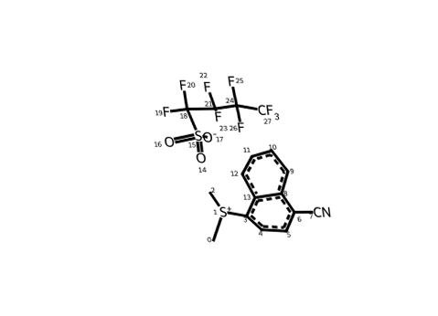 C[S+](C)c1ccc(C#N)c2ccccc12.O=S(=O)([O-])C(F)(F)C(F)(F)C(F)(F)C(F)(F)F